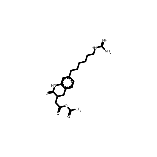 N=C(N)NCCCCCCc1ccc2c(c1)NC(=O)C(CC(=O)OC(=O)C(F)(F)F)C2